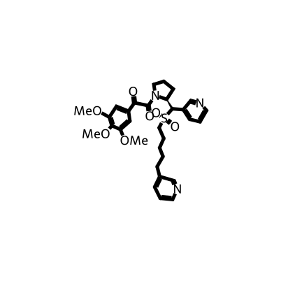 COc1cc(C(=O)C(=O)N2CCC[C@H]2C(c2cccnc2)S(=O)(=O)CCCCCc2cccnc2)cc(OC)c1OC